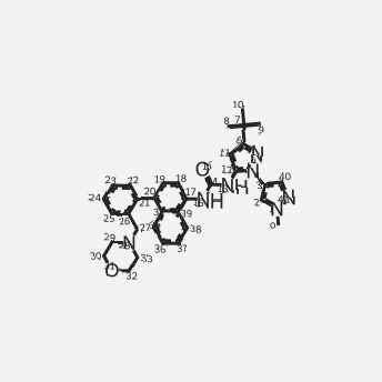 Cn1cc(-n2nc(C(C)(C)C)cc2NC(=O)Nc2ccc(-c3ccccc3CN3CCOCC3)c3ccccc23)cn1